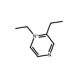 CCc1cncc[n+]1CC